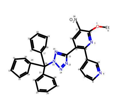 CCOc1nc(-c2cccnc2)c(-c2nnn(C(c3ccccc3)(c3ccccc3)c3ccccc3)n2)cc1[N+](=O)[O-]